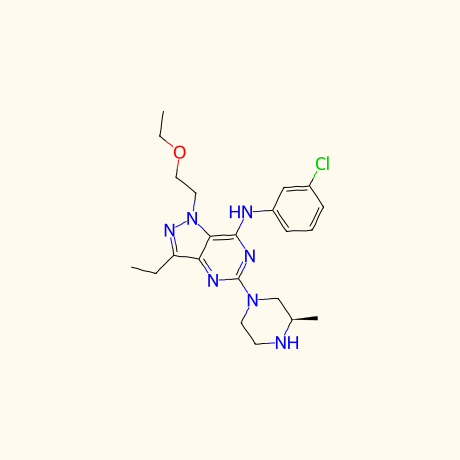 CCOCCn1nc(CC)c2nc(N3CCN[C@H](C)C3)nc(Nc3cccc(Cl)c3)c21